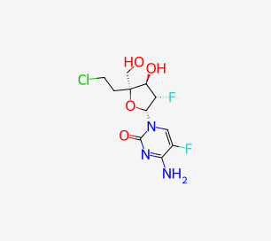 Nc1nc(=O)n([C@@H]2O[C@@](CO)(CCCl)[C@@H](O)[C@@H]2F)cc1F